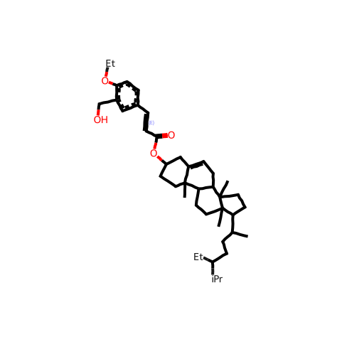 CCOc1ccc(/C=C/C(=O)OC2CCC3(C)C(=CCC4C3CCC3(C)C(C(C)CCC(CC)C(C)C)CCC43C)C2)cc1CO